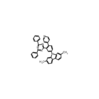 Cc1ccc2c3ccc(C)cc3n(-c3ccc(-c4ccncc4)c(-c4nc(-c5ccccc5)nc(-c5ccccc5)n4)c3)c2c1